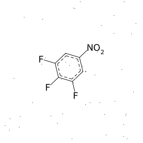 O=[N+]([O-])c1[c]c(F)c(F)c(F)c1